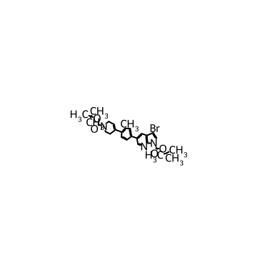 Cc1cc(-c2cnc3c(c2)c(Br)cn3C(=O)OC(C)(C)C)ccc1C1=CCN(C(=O)OC(C)(C)C)CC1